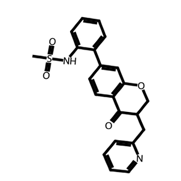 CS(=O)(=O)Nc1ccccc1-c1ccc2c(c1)OCC(Cc1ccccn1)C2=O